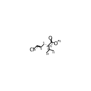 COC(=O)[C@@H](CC=CCl)C(C)C